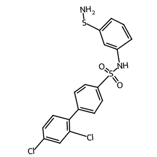 NSc1cccc(NS(=O)(=O)c2ccc(-c3ccc(Cl)cc3Cl)cc2)c1